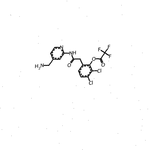 NCc1ccnc(NC(=O)Cc2ccc(Cl)c(Cl)c2OC(=O)C(F)(F)F)c1